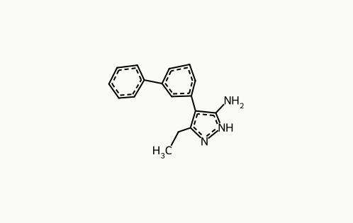 CCc1n[nH]c(N)c1-c1cccc(-c2ccccc2)c1